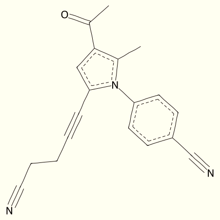 CC(=O)c1cc(C#CCCC#N)n(-c2ccc(C#N)cc2)c1C